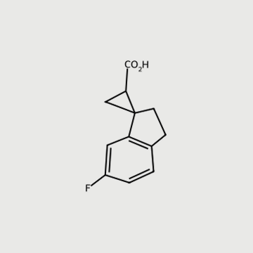 O=C(O)C1CC12CCc1ccc(F)cc12